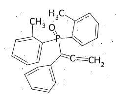 C=C=C(c1ccccc1)P(=O)(c1ccccc1C)c1ccccc1C